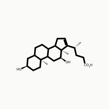 C[C@H](CCC(=O)O)C1=CCC2C3CCC4C[C@H](O)CC[C@]4(C)C3C[C@H](O)[C@]12C